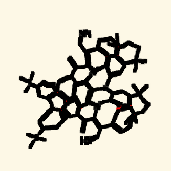 C=C(/C(=C(\C=N)c1ccccc1)N1c2cc3c(cc2B2c4cc5c(cc4N(/C(C(=C)c4ccccc4)=C(/C=N)c4ccccc4)c4cc(-n6c7ccc(S(C)(C)C)cc7c7cc(S(C)(C)C)ccc76)cc1c42)C(C)(C)CCC5(C)C)C(C)(C)CCC3(C)C)c1ccccc1